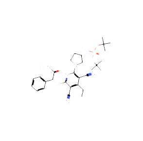 CCc1c(C#N)c(S[C@H](C(N)=O)c2ccccc2)nc(N2CC[C@H](OP(=O)(OC(C)(C)C)OC(C)(C)C)C2)c1C#N